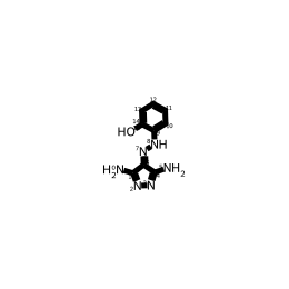 NC1=NN=C(N)C1=NNc1ccccc1O